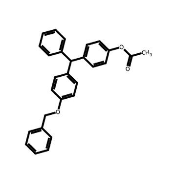 CC(=O)Oc1ccc([C](c2ccccc2)c2ccc(OCc3ccccc3)cc2)cc1